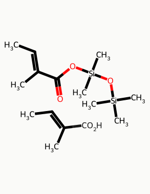 C/C=C(\C)C(=O)O.C/C=C(\C)C(=O)O[Si](C)(C)O[Si](C)(C)C